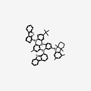 Cc1cc2c3c(c1)N(c1cccc4c1sc1ccccc14)c1cc(N4c5cc(C)cc(C)c5C5(C)CCCCC45C)ccc1B3c1cc(C(C)(C)C)ccc1N2c1cccc2c1sc1ccccc12